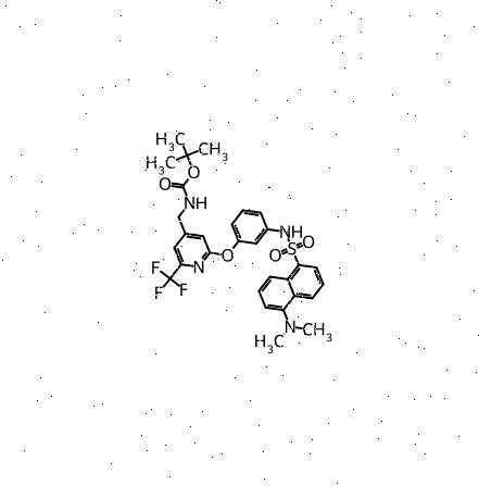 CN(C)c1cccc2c(S(=O)(=O)Nc3cccc(Oc4cc(CNC(=O)OC(C)(C)C)cc(C(F)(F)F)n4)c3)cccc12